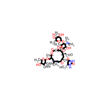 CC[C@H]1OC(=O)C[C@@H](O)[C@H](C)[C@@H](O[C@@H]2O[C@H](C)[C@@H](O[C@H]3C[C@@](C)(O)[C@@H](O)[C@H](C)O3)[C@H](N(C)C)[C@H]2O)[C@@H](CC=O)C[C@@H](C)C(=O)/C=C/C(C)=C/C1CO[C@@H]1O[C@H](C)[C@@H](O)[C@@H](OC)[C@H]1OC.O=C(O)c1cc(=O)[nH]c(=O)[nH]1